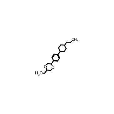 CCCC1CCC(c2ccc(C3COC(CC)CO3)cc2)CC1